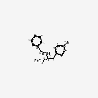 CCOC(=O)[C@H](Cc1ccc(Br)cc1)NCc1ccccc1